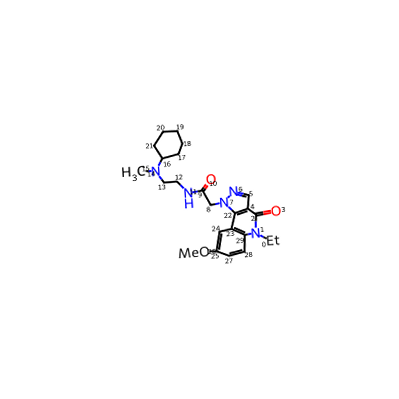 CCn1c(=O)c2cnn(CC(=O)NCCN(C)C3CCCCC3)c2c2cc(OC)ccc21